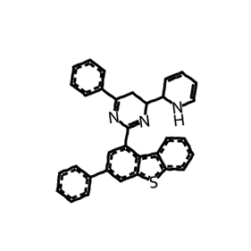 C1=CNC(C2CC(c3ccccc3)=NC(c3cc(-c4ccccc4)cc4sc5ccccc5c34)=N2)C=C1